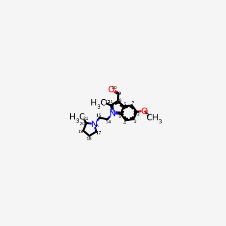 COc1ccc2c(c1)c(C=O)c(C)n2CCN1CCCC1C